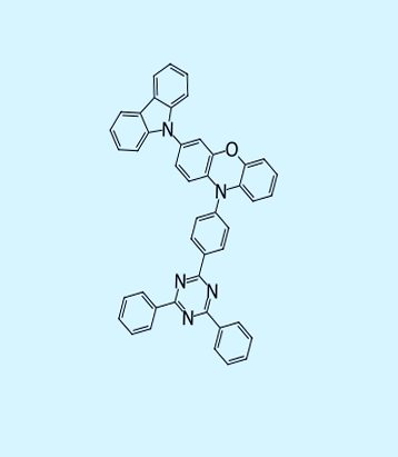 c1ccc(-c2nc(-c3ccccc3)nc(-c3ccc(N4c5ccccc5Oc5cc(-n6c7ccccc7c7ccccc76)ccc54)cc3)n2)cc1